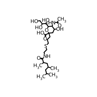 CC(=O)NC1C(O)CC(CCCSCCNC(=O)C(C)CC(C)CC(C)C)(C(=O)O)OC1[C@H](O)C(O)CO